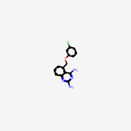 Nc1nc(N)c2c(COc3cccc(Cl)c3)cccc2n1